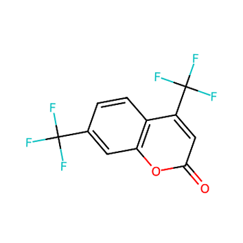 O=c1cc(C(F)(F)F)c2ccc(C(F)(F)F)cc2o1